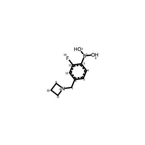 OB(O)c1ccc(CN2CCC2)cc1F